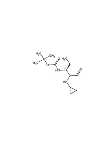 CC[C@H](NC(=O)OC(C)(C)C)[C](C=O)NC1CC1